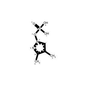 Cc1cn(OP(=O)(O)O)nc1C